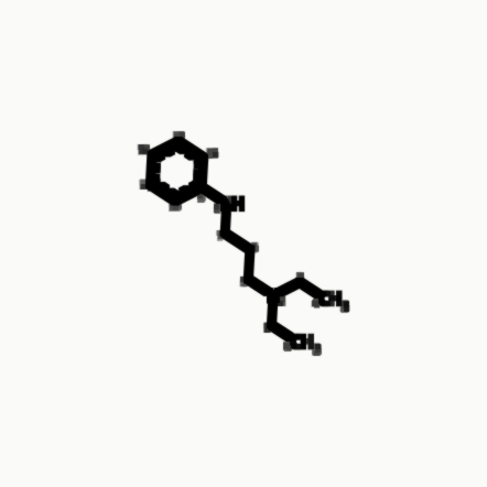 CCN(CC)CCCNc1c[c]ccc1